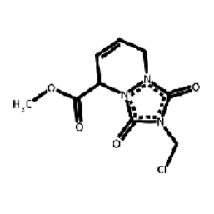 COC(=O)C1C=CCn2c(=O)n(CCl)c(=O)n21